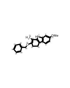 COc1ccc2c3c([nH]c2c1)C(C)=C(OCc1ccccc1)CC3